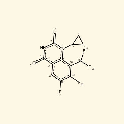 O=c1[nH]c(=O)n(C2CC2)c2c(C(F)F)c(F)c(F)cc12